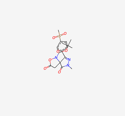 CN1N=C(c2ccc(S(C)(=O)=O)cc2)C2(CC(=O)ON2C(=O)OC(C)(C)C)C1=O